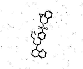 NCCCN(Cc1ccc(S(=O)(=O)N(Cc2ccccc2)CC2CC2)cc1)C1CCCc2cccnc21